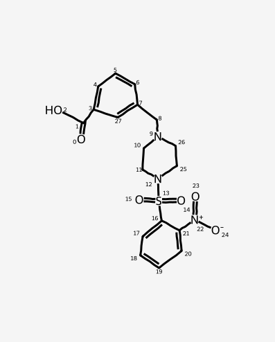 O=C(O)c1cccc(CN2CCN(S(=O)(=O)c3ccccc3[N+](=O)[O-])CC2)c1